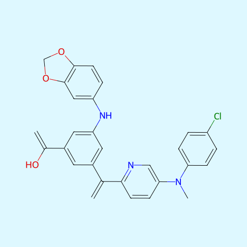 C=C(O)c1cc(Nc2ccc3c(c2)OCO3)cc(C(=C)c2ccc(N(C)c3ccc(Cl)cc3)cn2)c1